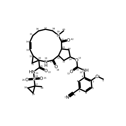 COc1ccc(C#N)cc1NC(=O)OC1CC2C(=O)NC3(C(=O)NS(=O)(=O)C4(C)CC4)CC3C=CCCCCN(C)C(=O)C2C1